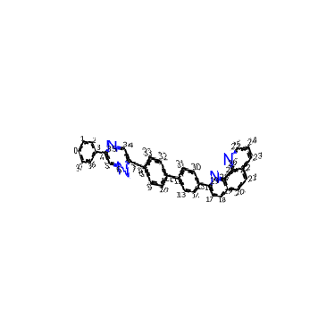 c1ccc(-c2cnc(-c3ccc(-c4ccc(-c5ccc6ccc7cccnc7c6n5)cc4)cc3)cn2)cc1